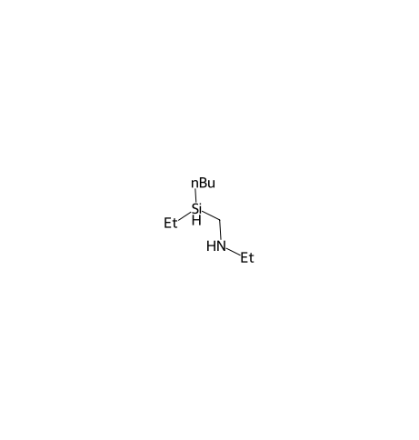 CCCC[SiH](CC)CNCC